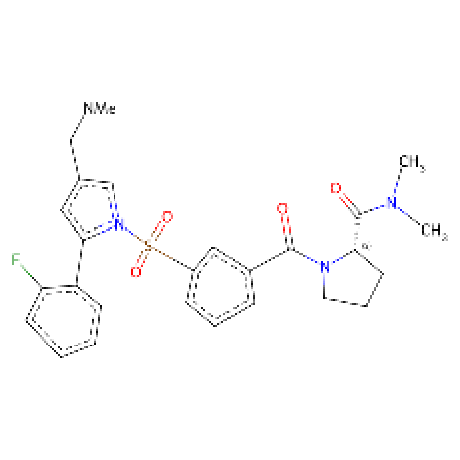 CNCc1cc(-c2ccccc2F)n(S(=O)(=O)c2cccc(C(=O)N3CCC[C@H]3C(=O)N(C)C)c2)c1